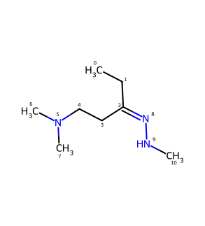 CC/C(CCN(C)C)=N/NC